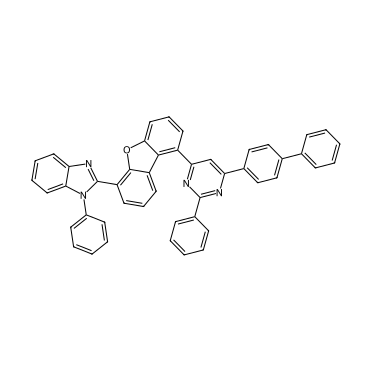 c1ccc(-c2ccc(-c3cc(-c4cccc5oc6c(-c7nc8ccccc8n7-c7ccccc7)cccc6c45)nc(-c4ccccc4)n3)cc2)cc1